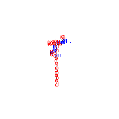 CCCCc1nc2c(N)nc3cc(C(=O)O)ccc3c2n1CCNC(=O)OCc1ccc(O[C@H]2O[C@H](CO)[C@@H](O)[C@H](O)[C@@H]2O)c(NC(=O)CCNC(=O)[C@H](CCCCNC(=O)CCOCCOCCOCCOCCOCCOCCOCCOCCOCCOCCOCCOC)NC(=O)CCN2C(=O)C=CC2=O)c1